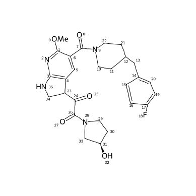 COc1nc2c(cc1C(=O)N1CCC(Cc3ccc(F)cc3)CC1)C(C(=O)C(=O)N1CC[C@@H](O)C1)CN2